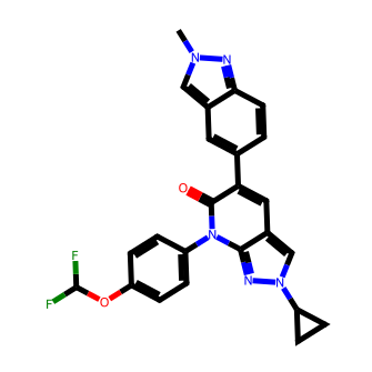 Cn1cc2cc(-c3cc4cn(C5CC5)nc4n(-c4ccc(OC(F)F)cc4)c3=O)ccc2n1